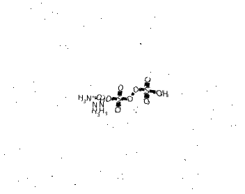 N.N.O=S(=O)(O)OOS(=O)(=O)O.[NH3+][O-]